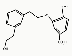 COc1ccc(C(=O)O)cc1OCCc1cccc(CCO)c1